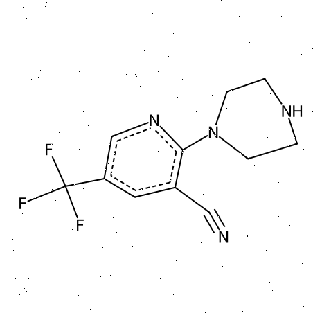 N#Cc1cc(C(F)(F)F)cnc1N1CCNCC1